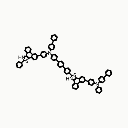 c1ccc(-c2ccc(N(c3ccccc3)c3ccc(-c4ccc5c6c(c7ccccc7c5c4)NC(c4ccc(-c5ccc(-c7ccc(N(c8ccc(-c9ccccc9)cc8)c8ccc(-c9ccc%10c%11c(c%12ccccc%12c%10c9)NC(c9ccccc9)S%11)cc8)cc7)cc5)cc4)S6)cc3)cc2)cc1